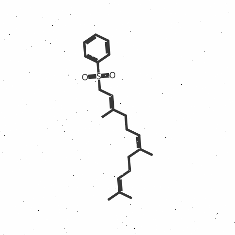 CC(C)=CCCC(C)=CCC/C(C)=C/CS(=O)(=O)c1ccccc1